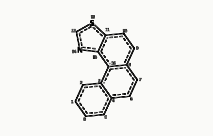 c1ccc2c(c1)ccc1ccc3scnc3c12